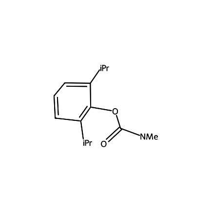 CNC(=O)Oc1c(C(C)C)cccc1C(C)C